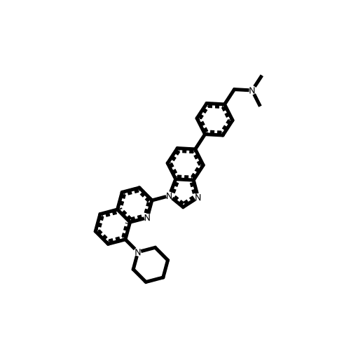 CN(C)Cc1ccc(-c2ccc3c(c2)ncn3-c2ccc3cccc(N4CCCCC4)c3n2)cc1